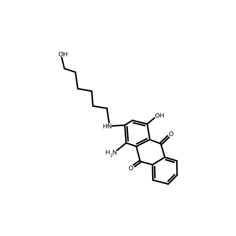 Nc1c(NCCCCCCO)cc(O)c2c1C(=O)c1ccccc1C2=O